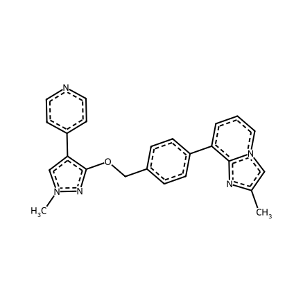 Cc1cn2cccc(-c3ccc(COc4nn(C)cc4-c4ccncc4)cc3)c2n1